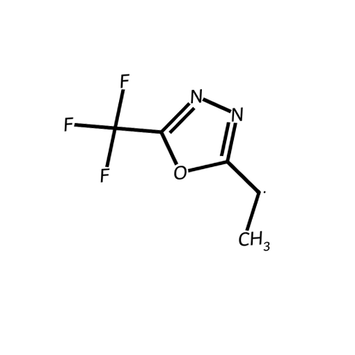 C[CH]c1nnc(C(F)(F)F)o1